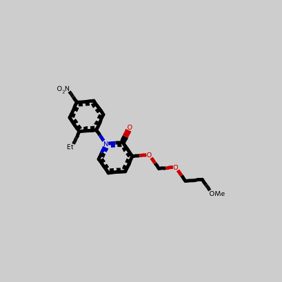 CCc1cc([N+](=O)[O-])ccc1-n1cccc(OCOCCOC)c1=O